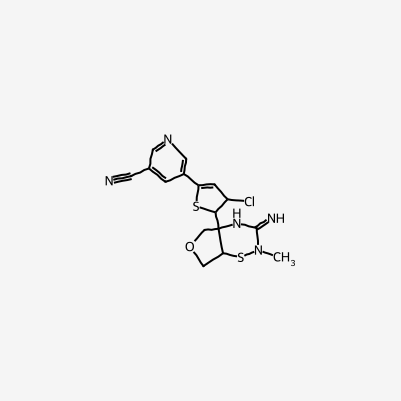 CN1SC2COCC2(C2SC(c3cncc(C#N)c3)=CC2Cl)NC1=N